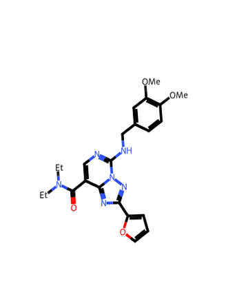 CCN(CC)C(=O)c1cnc(NCc2ccc(OC)c(OC)c2)n2nc(-c3ccco3)nc12